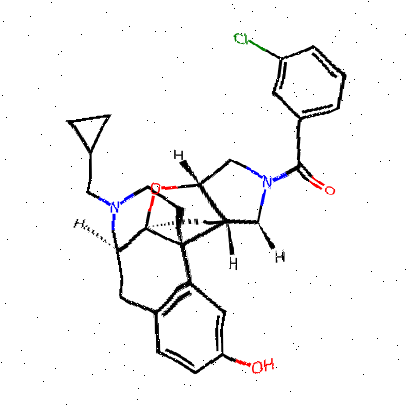 O=C(c1cccc(Cl)c1)N1C[C@H]2O[C@@]34CC[C@@H]1[C@@H]2[C@@]31CCN(CC2CC2)[C@@H]4Cc2ccc(O)cc21